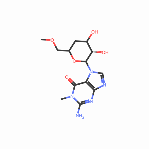 COCC1CC(O)[C@@H](O)C(n2cnc3nc(N)n(C)c(=O)c32)O1